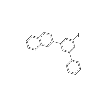 Ic1cc(-c2ccccc2)cc(-c2ccc3ccccc3c2)c1